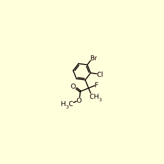 COC(=O)C(C)(F)c1cccc(Br)c1Cl